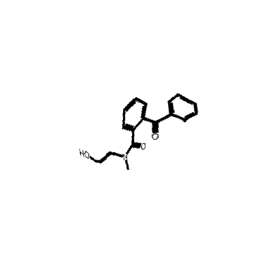 CN(CCO)C(=O)c1ccccc1C(=O)c1ccccc1